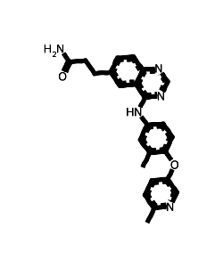 Cc1ccc(Oc2ccc(Nc3ncnc4ccc(CCC(N)=O)cc34)cc2C)cn1